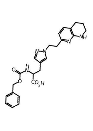 O=C(NC(Cc1cnn(CCc2ccc3c(n2)NCCC3)c1)C(=O)O)OCc1ccccc1